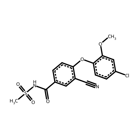 COc1cc(Cl)ccc1Oc1ccc(C(=O)NS(C)(=O)=O)cc1C#N